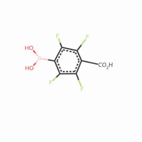 O=C(O)c1c(F)c(F)c(B(O)O)c(F)c1F